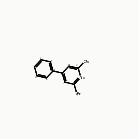 CC(C)c1cc(-c2ccccc2)cc(Cl)n1